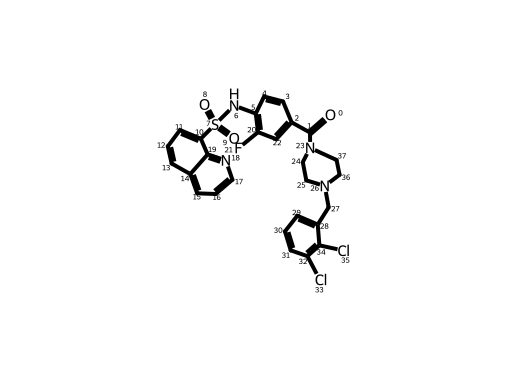 O=C(c1ccc(NS(=O)(=O)c2cccc3cccnc23)c(F)c1)N1CCN(Cc2cccc(Cl)c2Cl)CC1